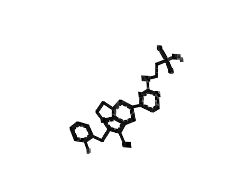 NS(=O)(=O)CCNc1nccc(-c2cc3c4c(c2)c(O)c(Cc2ccccc2F)n4CC3)n1